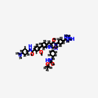 COc1cc(C(=O)NC2CCC(N(C)C)CC2)ccc1-c1ccc(CC(NC(=O)[C@H]2CC[C@H](CNC(=O)OC(C)(C)C)CC2)C(=O)Nc2ccc(-c3nn[nH]n3)cc2)cc1